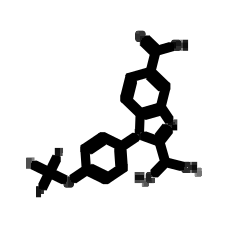 CC(C)c1nc2cc(C(=O)O)ccc2n1-c1ccc(OC(F)(F)F)cc1